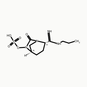 CCCNC(=N)[C@@H]1CC[C@@H]2CN1C(=O)N2OS(=O)(=O)O